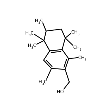 Cc1cc2c(c(C)c1CO)C(C)(C)CC(C)C2(C)C